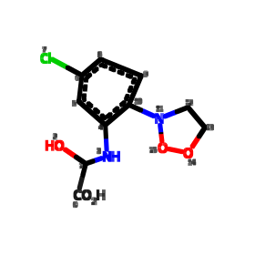 O=C(O)C(O)Nc1cc(Cl)ccc1N1CCOO1